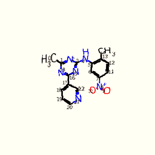 Cc1nc(Nc2cc([N+](=O)[O-])ccc2C)nc(-c2cccnc2)n1